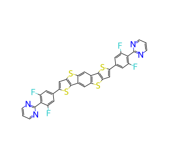 Fc1cc(-c2cc3sc4cc5c(cc4c3s2)sc2cc(-c3cc(F)c(-c4ncccn4)c(F)c3)sc25)cc(F)c1-c1ncccn1